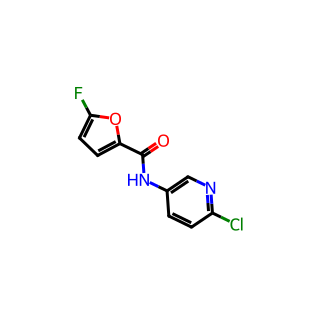 O=C(Nc1ccc(Cl)nc1)c1ccc(F)o1